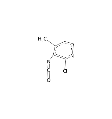 Cc1ccnc(Cl)c1N=C=O